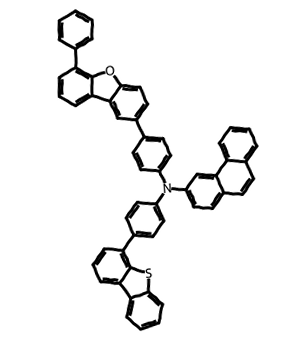 c1ccc(-c2cccc3c2oc2ccc(-c4ccc(N(c5ccc(-c6cccc7c6sc6ccccc67)cc5)c5ccc6ccc7ccccc7c6c5)cc4)cc23)cc1